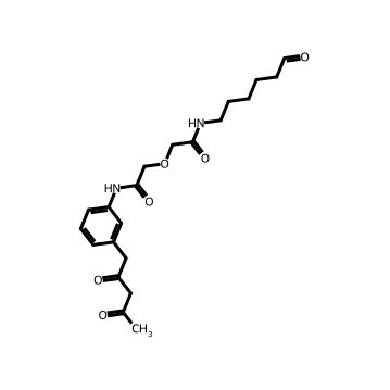 CC(=O)CC(=O)Cc1cccc(NC(=O)COCC(=O)NCCCCCC=O)c1